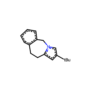 CC(C)(C)c1cc2n(c1)Cc1ccccc1CC2